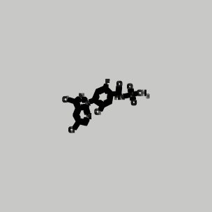 CS(=O)(=O)NC(=O)c1cc(Cl)c(-n2nc(Cl)c3cc(Cl)cnc32)cc1F